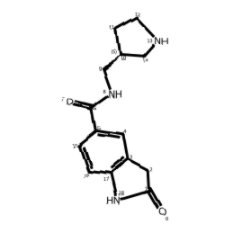 O=C1Cc2cc(C(=O)NC[C@H]3CCNC3)ccc2N1